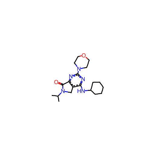 CC(C)N1Cc2c(NC3CCCCC3)nc(N3CCOCC3)nc2C1=O